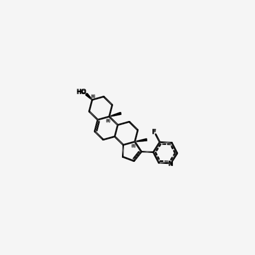 C[C@]12CC[C@H](O)CC1=CCC1C2CC[C@]2(C)C(c3cnccc3F)=CCC12